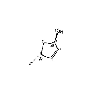 C[C@H]1C=C[C@H](O)C1